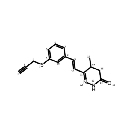 C#CCSc1cccc(C=CC2=NNC(=O)CC2C)c1